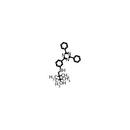 CC(C)(O)C(C)(C)CBc1cccc(-c2nc(-c3ccccc3)nc(-c3ccccc3)n2)c1